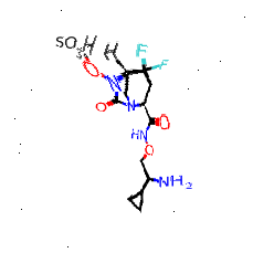 NC(CONC(=O)[C@@H]1CC(F)(F)[C@@H]2CN1C(=O)N2OS(=O)(=O)O)C1CC1